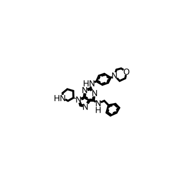 c1ccc(CNc2nc(Nc3ccc(N4CCOCC4)cc3)nc3c2ncn3[C@H]2CCCNC2)cc1